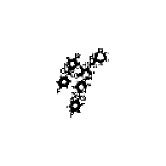 O=S(=O)(c1ccc(F)cc1)c1ccc(Br)cn1.O=c1c(Cl)c(NC[C@@]2(F)CCCOC2)cnn1-c1ccc(S(=O)(=O)c2ccc(F)cc2)nc1